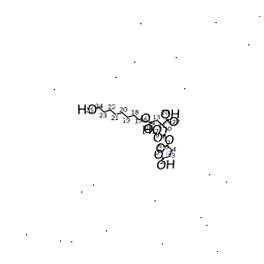 O=C(O)/C=C\C(=O)OC(=O)CC(O)(CC(=O)OCCCCCCCCO)C(=O)O